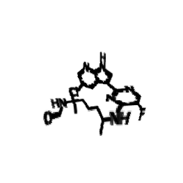 CC(CCCC(C)(C)NC=O)Nc1nc(-c2c[nH]c3ncc(Cl)cc23)ncc1F